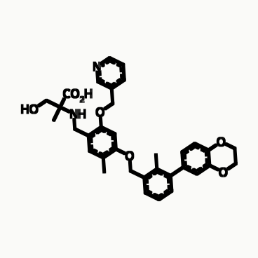 Cc1cc(CNC(C)(CO)C(=O)O)c(OCc2cccnc2)cc1OCc1cccc(-c2ccc3c(c2)OCCO3)c1C